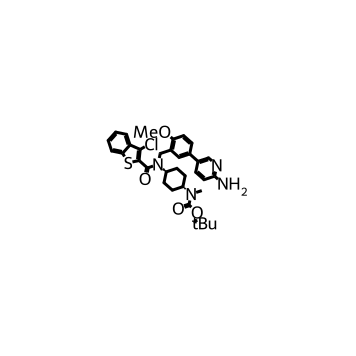 COc1ccc(-c2ccc(N)nc2)cc1CN(C(=O)c1sc2ccccc2c1Cl)[C@H]1CC[C@H](N(C)C(=O)OC(C)(C)C)CC1